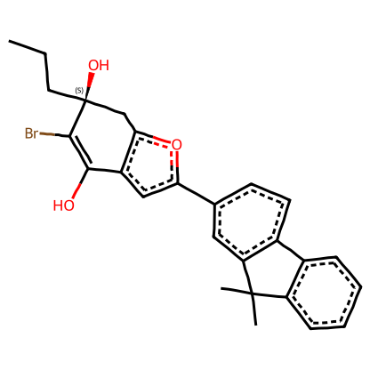 CCC[C@]1(O)Cc2oc(-c3ccc4c(c3)C(C)(C)c3ccccc3-4)cc2C(O)=C1Br